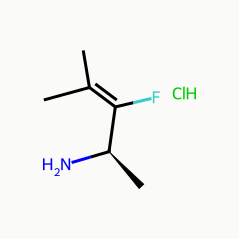 CC(C)=C(F)[C@@H](C)N.Cl